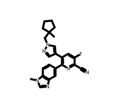 Cn1cnc2cc(-c3nc(C#N)c(F)cc3-c3cnn(CC4(C)CCCC4)c3)ccc21